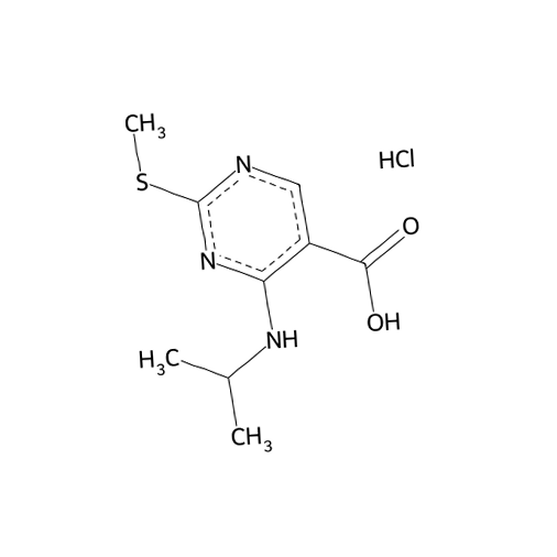 CSc1ncc(C(=O)O)c(NC(C)C)n1.Cl